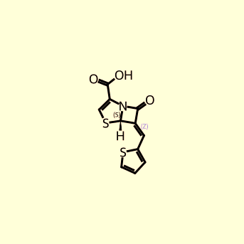 O=C(O)C1=CS[C@H]2/C(=C\c3cccs3)C(=O)N12